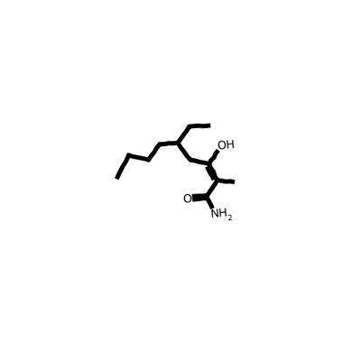 CCCCC(CC)CC(O)=C(C)C(N)=O